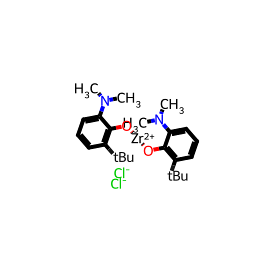 CN(C)c1cccc(C(C)(C)C)c1[O][Zr+2][O]c1c(N(C)C)cccc1C(C)(C)C.[Cl-].[Cl-]